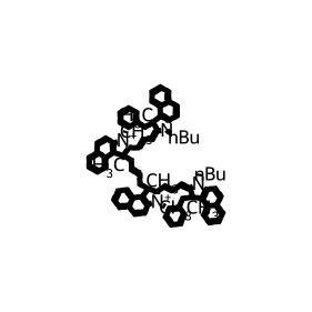 CCCCN1/C(=C/C=C/C2=[N+](C)c3ccc4ccccc4c3C2(C)CC=CCC2(C)C(/C=C/C=C3/N(CCCC)c4ccc5ccccc5c4C3(C)Cc3ccccc3)=[N+](C)c3ccc4ccccc4c32)C(C)(Cc2ccccc2)c2c1ccc1ccccc21